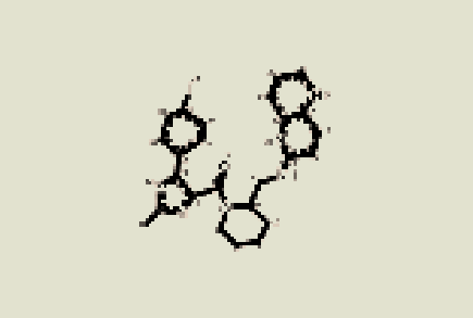 Cc1nc(C(=O)N2CCCCC2CNc2ccc3ncccc3n2)c(-c2ccc(F)cc2)s1